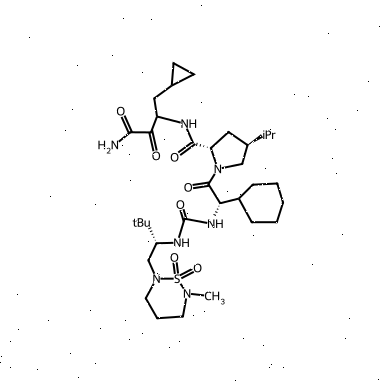 CC(C)[C@@H]1C[C@@H](C(=O)NC(CC2CC2)C(=O)C(N)=O)N(C(=O)[C@@H](NC(=O)N[C@H](CN2CCCN(C)S2(=O)=O)C(C)(C)C)C2CCCCC2)C1